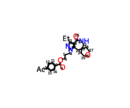 CCc1nn(CCCOC(=O)c2ccc(C(C)=O)cc2)c2c1C(=O)NCC1(CCOCC1)C2